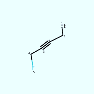 [CH2]CCC#CCF